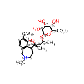 C=C[C@@]12CCN(C)Cc3ccc(OC)c(c31)O[C@H]2C[C@H](C)O[C@@H]1O[C@H](C(=O)O)[C@@H](O)[C@H](O)[C@H]1O